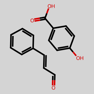 O=C(O)c1ccc(O)cc1.O=C/C=C/c1ccccc1